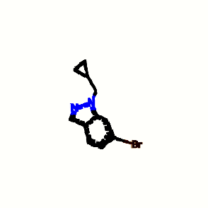 Brc1ccc2cnn(CC3CC3)c2c1